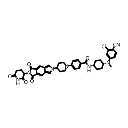 CN(c1ccc(C#N)c(Cl)c1)[C@H]1CC[C@H](NC(=O)c2ccc(N3CCC(n4cc5cc6c(cc5c4)C(=O)N(C4CCC(=O)NC4=O)C6=O)CC3)cc2)CC1